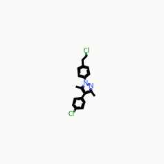 Cc1nn(-c2ccc(CCCl)cc2)c(C)c1-c1ccc(Cl)cc1